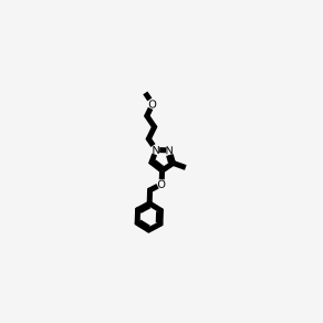 COCCCn1cc(OCc2ccccc2)c(C)n1